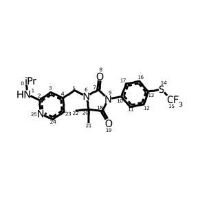 CC(C)Nc1cc(CN2C(=O)N(c3ccc(SC(F)(F)F)cc3)C(=O)C2(C)C)ccn1